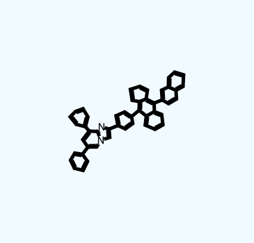 c1ccc(-c2cc(-c3ccccc3)c3nc(-c4ccc(-c5c6ccccc6c(-c6ccc7ccccc7c6)c6ccccc56)cc4)cn3c2)cc1